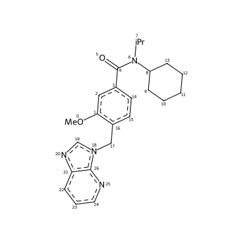 COc1cc(C(=O)N(C(C)C)C2CCCCC2)ccc1Cn1cnc2cccnc21